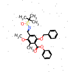 COc1c(/C=N/[S@@+]([O-])C(C)(C)C)cc(OCc2ccccc2)c(C(=O)Oc2ccccc2)c1C